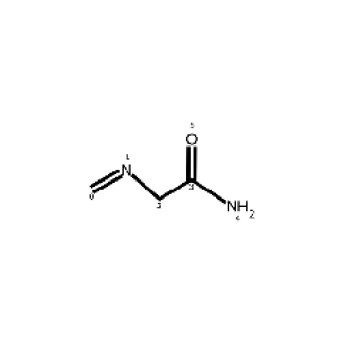 C=NCC(N)=O